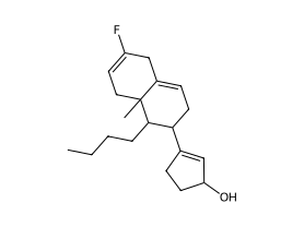 CCCCC1C(C2=CC(O)CC2)CC=C2CC(F)=CCC21C